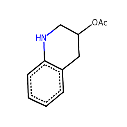 CC(=O)OC1CNc2ccccc2C1